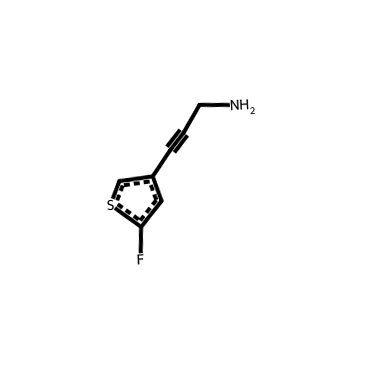 NCC#Cc1csc(F)c1